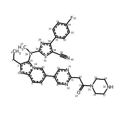 CCc1nc2ccc(-c3cnc(CC(=O)N4CCNCC4)nc3)cn2c1N(C)c1nc(-c2ccc(F)cc2)c(C#N)s1